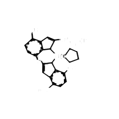 CC1=Cc2c(C)ccc(C)c2[CH]1[Hf+2]([CH]1C(C)=Cc2c(C)ccc(C)c21)=[Si]1CCCC1.[Cl-].[Cl-]